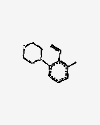 C=Cc1c(C)cccc1N1CCOCC1